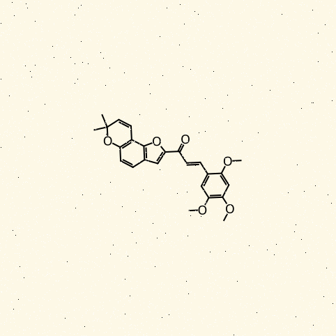 COc1cc(OC)c(OC)cc1/C=C/C(=O)c1cc2ccc3c(c2o1)C=CC(C)(C)O3